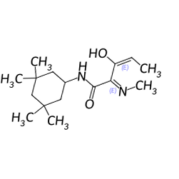 C/C=C(O)\C(=N/C)C(=O)NC1CC(C)(C)CC(C)(C)C1